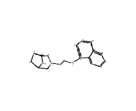 c1ccc2c(OCCN3CC4CCC(C3)O4)cccc2c1